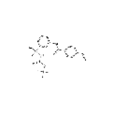 [CH2]C(O)(NC(=O)OC(C)(C)C)c1cccc(NC(=O)c2ccc(C=O)cc2)c1